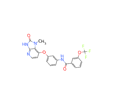 Cn1c(=O)[nH]c2nccc(Oc3cccc(NC(=O)c4cccc(OC(F)(F)F)c4)c3)c21